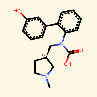 CN1CC[C@@H](CN(C(=O)O)c2ccccc2-c2cccc(O)c2)C1